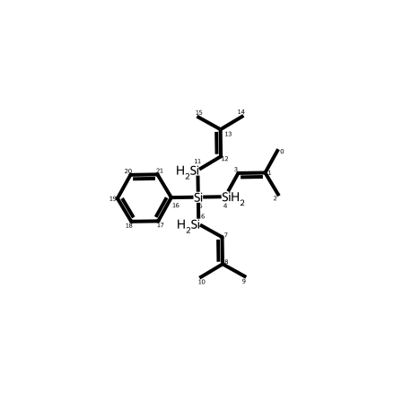 CC(C)=C[SiH2][Si]([SiH2]C=C(C)C)([SiH2]C=C(C)C)c1ccccc1